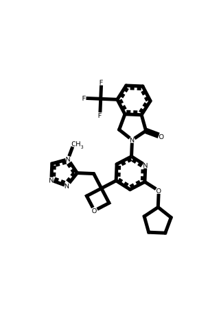 Cn1cnnc1CC1(c2cc(OC3CCCC3)nc(N3Cc4c(cccc4C(F)(F)F)C3=O)c2)COC1